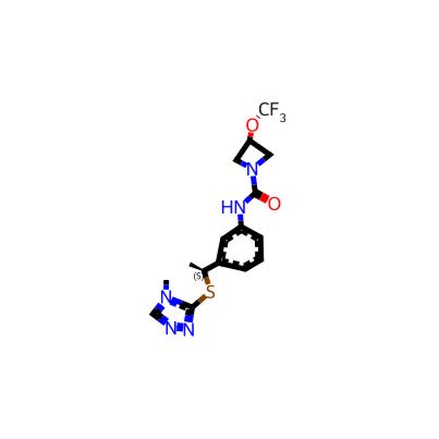 C[C@H](Sc1nncn1C)c1cccc(NC(=O)N2CC(OC(F)(F)F)C2)c1